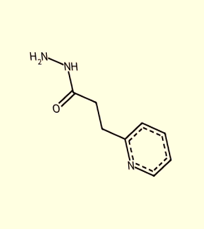 NNC(=O)CCc1ccccn1